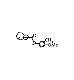 COc1ccc(C2CC2C(=O)C23CC4CCCC(C2)C(C4)C3)cc1C